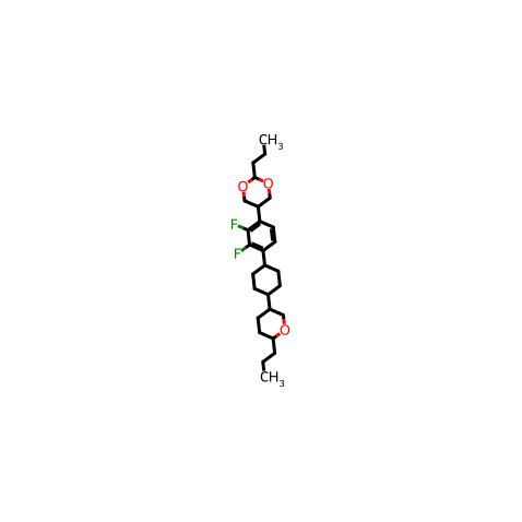 CCCC1CCC(C2CCC(c3ccc(C4COC(CCC)OC4)c(F)c3F)CC2)CO1